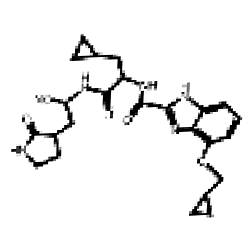 N#CC(CC1CCNC1=O)NC(=O)C(CC1CC1)NC(=O)c1nc2c(OCC3CC3)cccc2[nH]1